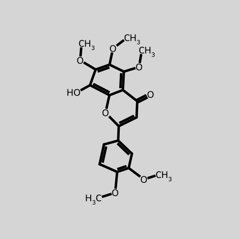 COc1ccc(-c2cc(=O)c3c(OC)c(OC)c(OC)c(O)c3o2)cc1OC